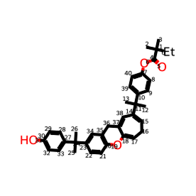 CCC(C)(C)C(=O)Oc1ccc(C(C)(C)C2=CCC=C3Oc4ccc(C(C)(C)c5ccc(O)cc5)cc4CC3=C2)cc1